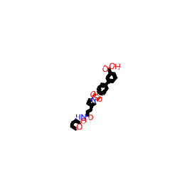 O=C(C=Cc1ccn(S(=O)(=O)c2ccc(-c3cccc(C(=O)O)c3)cc2)c1)NOC1CCCCO1